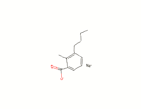 CCCCc1cccc(C(=O)[O-])c1C.[Na+]